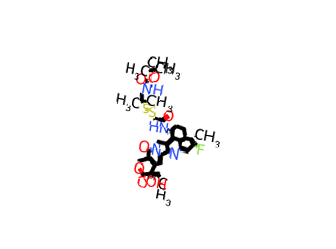 CC[C@@]1(O)C(=O)OCc2c1cc1n(c2=O)Cc2c-1nc1cc(F)c(C)c3c1c2[C@@H](NC(=O)CSSC(C)(C)CNC(=O)OC(C)(C)C)CC3